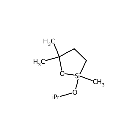 CC(C)O[Si]1(C)CCC(C)(C)O1